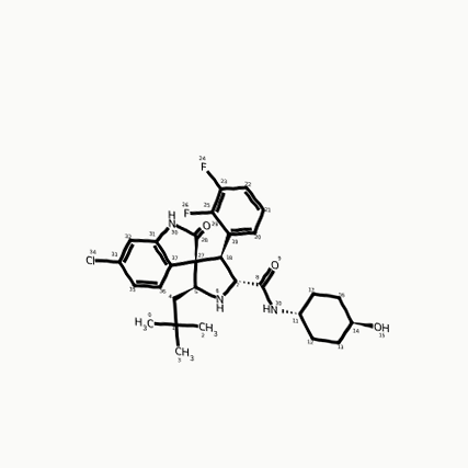 CC(C)(C)C[C@@H]1N[C@@H](C(=O)N[C@H]2CC[C@H](O)CC2)[C@H](c2cccc(F)c2F)[C@]12C(=O)Nc1cc(Cl)ccc12